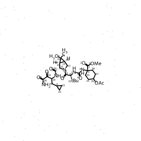 COC(=O)C1(NC(=O)N[C@H](C(=O)N2C[C@H]3[C@@H]([C@H]2C(=O)NC(CC2CC2)C(=O)C(N)=O)C3(C)C)C(C)(C)C)CCC(OC(C)=O)CC1